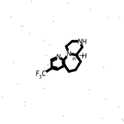 FC(F)(F)c1cnc2c(c1)CCC[C@@H]1CNCCN21